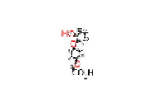 O=C(O)COc1ccc(Oc2ccccc2O)cc1